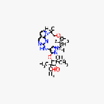 [2H]C([2H])([2H])n1cc(Nc2ncc3ccn([C@@H](C)COC)c3n2)c(O[C@H]2C(C)(C)[C@H](O)C2(C)C)n1